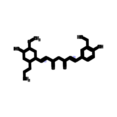 COC1CC(/C=C/C(=O)CC(=O)/C=C/c2ccc(O)c(CO)c2)C(CCN)CC1O